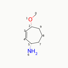 CO[C@H]1C=C[C@@H](N)CCC1